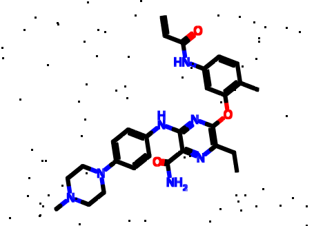 C=CC(=O)Nc1ccc(C)c(Oc2nc(Nc3ccc(N4CCN(C)CC4)cc3)c(C(N)=O)nc2CC)c1